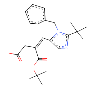 CC(C)(C)OC(=O)C(=Cc1cnc(C(C)(C)C)n1Cc1ccccc1)CC(=O)O